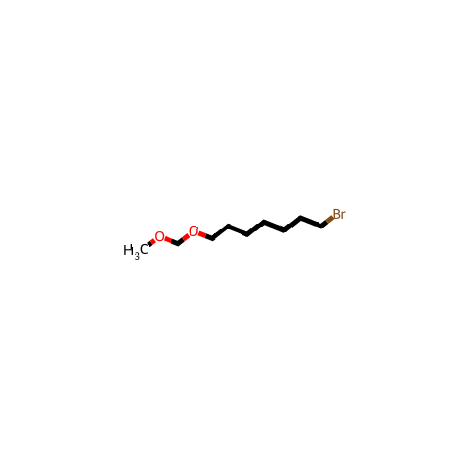 COCOCCCCCCCBr